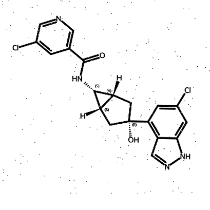 O=C(N[C@@H]1[C@@H]2C[C@@](O)(c3cc(Cl)cc4[nH]ncc34)C[C@@H]21)c1cncc(Cl)c1